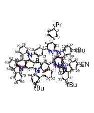 CC(C)c1ccc(-c2cc(-c3ccc4c(c3)B3c5cc(-c6cccc(-n7c8ccc(C#N)cc8c8cc(C(C)(C)C)ccc87)n6)ccc5N(c5ccc(C(C)(C)C)cc5-c5ccccc5)c5cc(-n6c7ccccc7c7ccccc76)cc(c53)N4c3ccccc3-c3ccccc3)nc(-n3c4ccc(C#N)cc4c4cc(C(C)(C)C)ccc43)c2)cc1